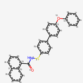 O=C(NSc1ccc(-c2ccc(Oc3ccccc3)cc2)cc1)c1cccc2ccccc12